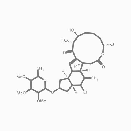 CC[C@H]1CCC[C@H](O)[C@@H](C)C(=O)C2=CC3[C@@H](C(C)C(Cl)[C@@H]4C[C@@H](OC5OC(C)C(OC)C(OC)C5OC)C[C@@H]34)[C@@H]2CC(=O)O1